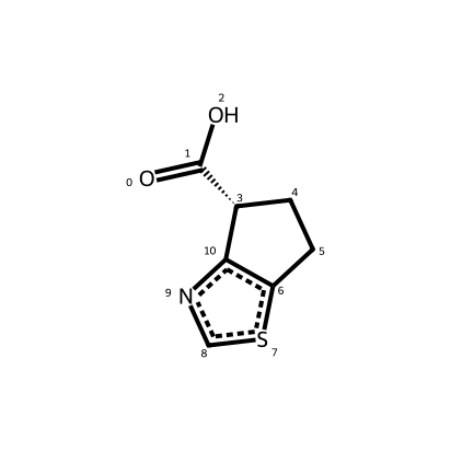 O=C(O)[C@@H]1CCc2scnc21